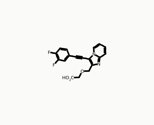 O=C(O)COCc1nc2ccccn2c1C#Cc1ccc(F)c(F)c1